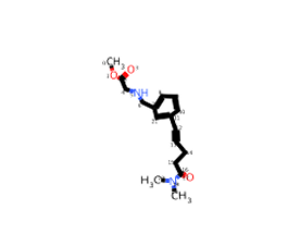 COC(=O)CNCc1cccc(C#CCCC(=O)N(C)C)c1